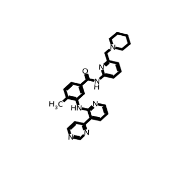 Cc1ccc(C(=O)Nc2cccc(CN3CCCCC3)n2)cc1Nc1ncccc1-c1ccncn1